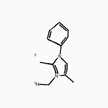 [2H]C[n+]1c(C)cn(-c2ccccc2)c1C.[I-]